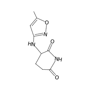 Cc1cc(NC2CCC(=O)NC2=O)no1